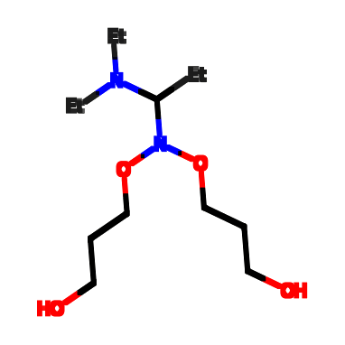 CCC(N(CC)CC)N(OCCCO)OCCCO